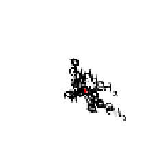 COc1ccc(C(OC[C@@]23CN(c4ccncn4)[C@@H]([C@H](n4cc(C)c(NC(=O)c5ccccc5)nc4=O)O2)[C@@H]3O)(c2ccccc2)c2ccc(OC)cc2)cc1